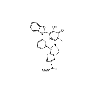 CNC(=O)c1ccc2c(c1)CCN(c1nc(-c3nc4ccccc4o3)c(O)c(=O)n1C)[C@@H]2c1ccccc1